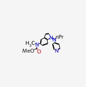 CCCN(c1ccncc1)n1ccc2cc(N(C)C(=O)OC)ccc21